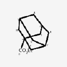 C[CH]OC(=O)C12CC3CC(CC(C3)C1)C2